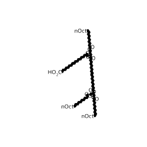 CCCCCCCC/C=C\CCCCCCCC(=O)OCC(COC(=O)CCCCCCC/C=C/CCCCCCCC(=O)OC(COC(=O)CCCCCCC/C=C\CCCCCCCC)COC(=O)CCCCCCC/C=C/CCCCCCCC)OC(=O)CCCCCCC/C=C/CCCCCCCC(=O)O